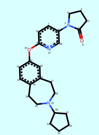 O=C1CCCN1c1ccc(Oc2ccc3c(c2)CCN(C2CCCC2)CC3)nc1